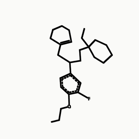 CCCOc1ccc(C(CCC2(CC)CCCCC2)CC2=CCCCC2)cc1F